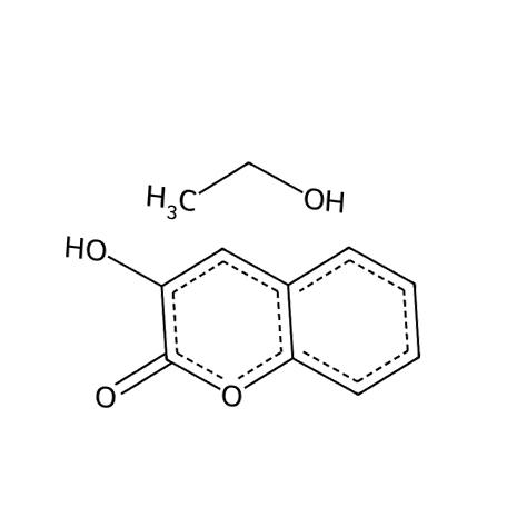 CCO.O=c1oc2ccccc2cc1O